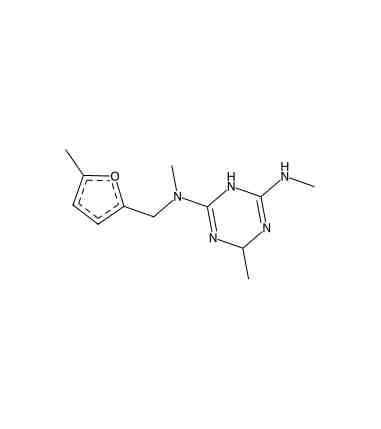 CNC1=NC(C)N=C(N(C)Cc2ccc(C)o2)N1